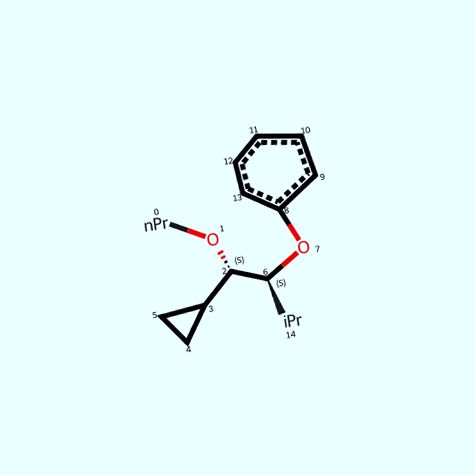 CCCO[C@@H](C1CC1)[C@@H](Oc1ccccc1)C(C)C